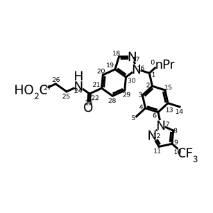 CCCC(c1cc(C)c(-n2cc(C(F)(F)F)cn2)c(C)c1)n1ncc2cc(C(=O)NCCC(=O)O)ccc21